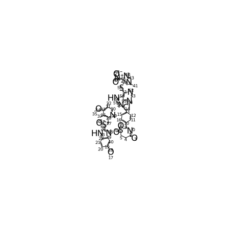 CN1C(=O)CCS(=O)(=O)C1c1ccc(Cl)cc1.COc1ccc2[nH]c([S+]([O-])Cc3ncc(C)c(OC)c3C)nc2c1.Cn1cnc([N+](=O)[O-])c1Sc1ncnc2nc[nH]c12